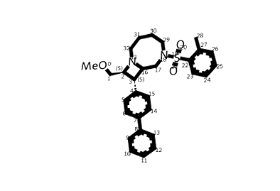 COC[C@@H]1[C@@H](c2ccc(-c3ccccc3)cc2)C2CN(S(=O)(=O)c3ccccc3C)CCCCN21